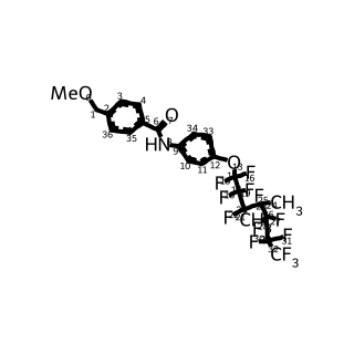 COCc1ccc(C(=O)Nc2ccc(OC(F)(F)C(F)(F)C(C)(F)C(C)(F)C(F)(F)C(F)(F)C(F)(F)F)cc2)cc1